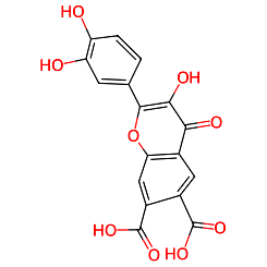 O=C(O)c1cc2oc(-c3ccc(O)c(O)c3)c(O)c(=O)c2cc1C(=O)O